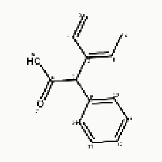 C=CC(=CC)C(C(=O)O)c1ccccc1